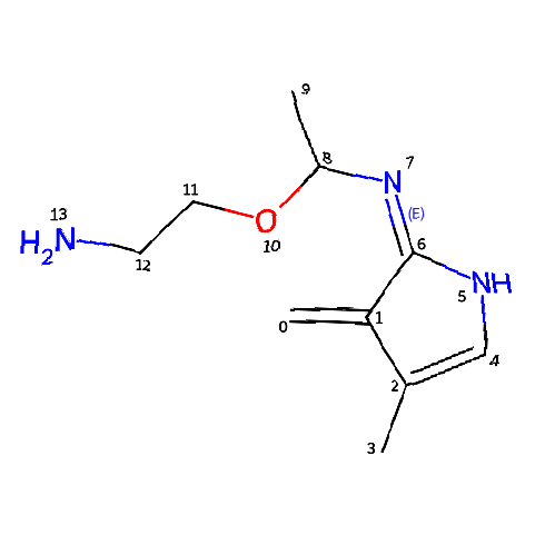 C=C1C(C)=CN/C1=N/C(C)OCCN